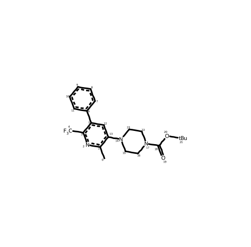 Cc1nc(C(F)(F)F)c(-c2ccccc2)cc1N1CCN(C(=O)OC(C)(C)C)CC1